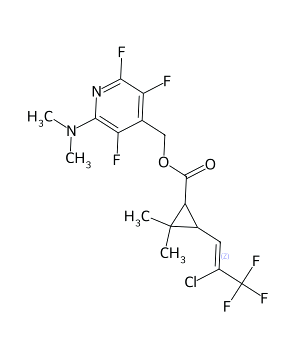 CN(C)c1nc(F)c(F)c(COC(=O)C2C(/C=C(\Cl)C(F)(F)F)C2(C)C)c1F